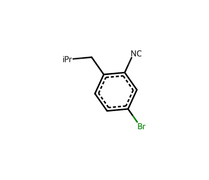 [C-]#[N+]c1cc(Br)ccc1CC(C)C